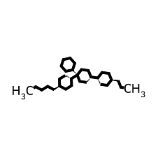 CCCCC[C@H]1CC[C@H]([C@]2(C3CCCCC3)CC[C@@H]([C@H]3CC[C@H](CCC)CC3)CC2)CC1